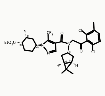 CCOC(=O)[C@H]1CC[C@H](n2ncc(C(=O)N(CC(=O)c3c(Cl)ccc(C)c3Cl)[C@H]3C[C@@H]4[C@H](C3)C4(C)C)c2C(F)(F)F)C[C@H]1C